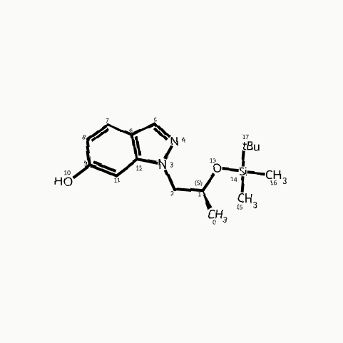 C[C@@H](Cn1ncc2ccc(O)cc21)O[Si](C)(C)C(C)(C)C